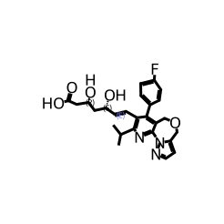 CC(C)c1nc2c(c(-c3ccc(F)cc3)c1/C=C/[C@@H](O)C[C@@H](O)CC(=O)O)COCc1ccnn1-2